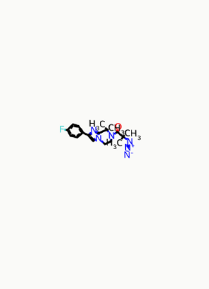 CC(C)(N=[N+]=[N-])C(=O)N1CCn2cc(-c3ccc(F)cc3)nc2C1(C)C